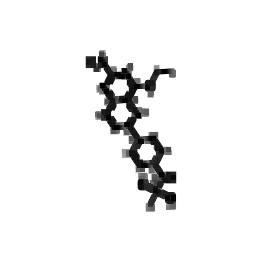 CCOc1nc(N)nc2ncc(-c3ccc(NS(C)(=O)=O)cc3)nc12